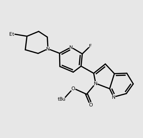 CCC1CCN(c2ccc(-c3cc4cccnc4n3C(=O)OC(C)(C)C)c(F)n2)CC1